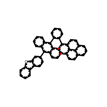 c1ccc(-c2ccc3ccc4cccc5ccc2c3c45)c(-c2c3ccccc3c(-c3ccc4c(c3)oc3ccccc34)c3ccccc23)c1